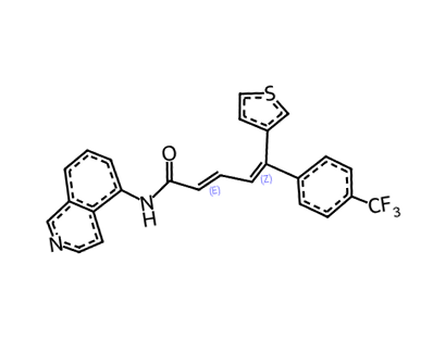 O=C(/C=C/C=C(/c1ccc(C(F)(F)F)cc1)c1ccsc1)Nc1cccc2cnccc12